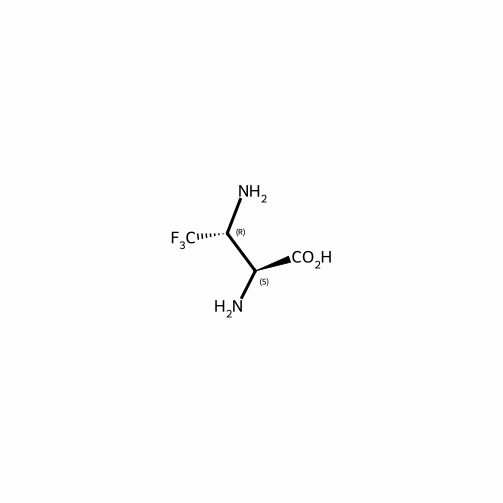 N[C@H](C(=O)O)[C@@H](N)C(F)(F)F